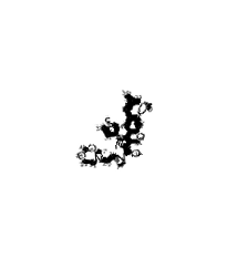 COc1cc2c(cc1C=C(C)C)-c1c(c(C(=O)N(C)CCN3CCOCOC3)nn1-c1ccsc1)CO2